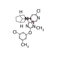 Cc1cc(Cl)cc(Oc2nc(NC3[C@@H]4CC[C@H]3CN(c3ccnc(Cl)c3)C4)nn2C)c1